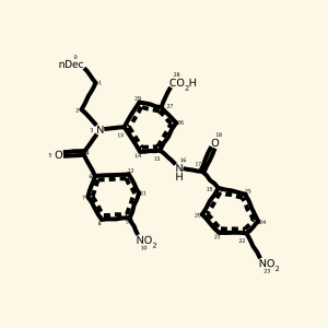 CCCCCCCCCCCCN(C(=O)c1ccc([N+](=O)[O-])cc1)c1cc(NC(=O)c2ccc([N+](=O)[O-])cc2)cc(C(=O)O)c1